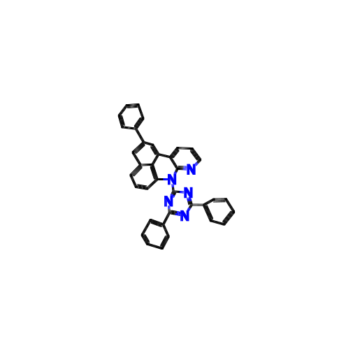 c1ccc(-c2cc3c4c(cccc4c2)N(c2nc(-c4ccccc4)nc(-c4ccccc4)n2)c2ncccc2-3)cc1